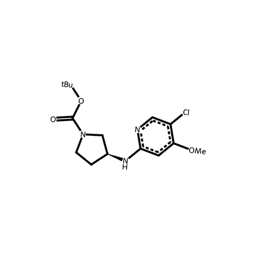 COc1cc(N[C@H]2CCN(C(=O)OC(C)(C)C)C2)ncc1Cl